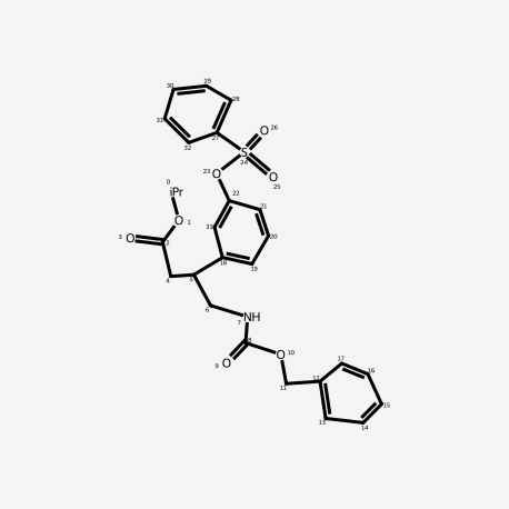 CC(C)OC(=O)CC(CNC(=O)OCc1ccccc1)c1cccc(OS(=O)(=O)c2ccccc2)c1